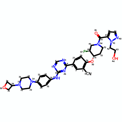 N#Cc1cc(-c2ncnc(Nc3ccc(N4CCN(C5COC5)CC4)cc3)n2)ccc1O[C@H]1CCN(C(=O)c2ccnn2CCO)C[C@@H]1F